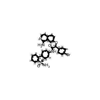 Nc1nccc2ccc(OC(C(=O)Nc3ccc(-c4ccccc4S(N)(=O)=O)cc3)c3ccc(Br)cc3)cc12